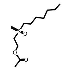 C=S(=O)(CCCCCCC)CCOC(C)=O